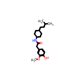 COc1cc(CC(=O)NC2CCC(CCC(C)C)CC2)ccc1O